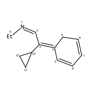 CC/N=C\C(=C1\C=CC=CC1)C1CC1